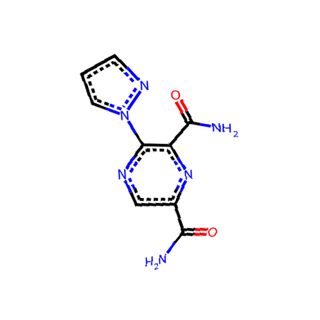 NC(=O)c1cnc(-n2cccn2)c(C(N)=O)n1